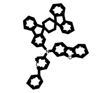 c1ccc(-c2ccc(N(c3ccc4c(c3)C3(CCC5(CC3)c3ccccc3-c3ccccc35)c3ccccc3-4)c3ccc4c(c3)oc3ccccc34)cc2)cc1